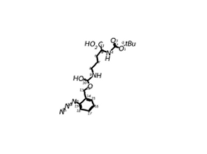 CC(C)(C)OC(=O)N[C@@H](CCCNC(O)OCc1ccccc1N=[N+]=[N-])C(=O)O